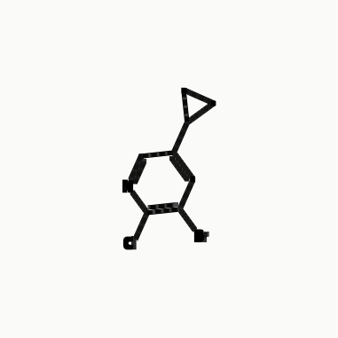 Clc1ncc(C2CC2)cc1Br